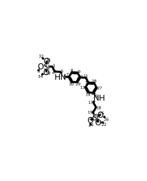 CO[Si](CCCNc1ccc(Cc2ccc(NCCC[Si](OC)(OC)OC)cc2)cc1)(OC)OC